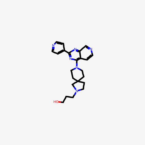 OCCCN1CCC2(CCN(c3nc(-c4ccncc4)nc4cnccc34)CC2)C1